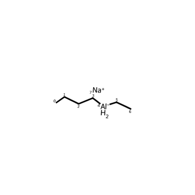 CCC[CH2][AlH2-][CH2]C.[Na+]